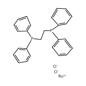 [Cl-].[Cl-].[Ru+2].c1ccc(P(CCP(c2ccccc2)c2ccccc2)c2ccccc2)cc1